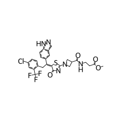 COC(=O)CCNC(=O)C1CN(C2=NC(=O)C(=C(Cc3ccc(Cl)cc3C(F)(F)F)c3ccc4[nH]ncc4c3)S2)C1